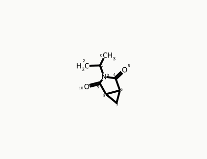 CC(C)N1C(=O)C2CC2C1=O